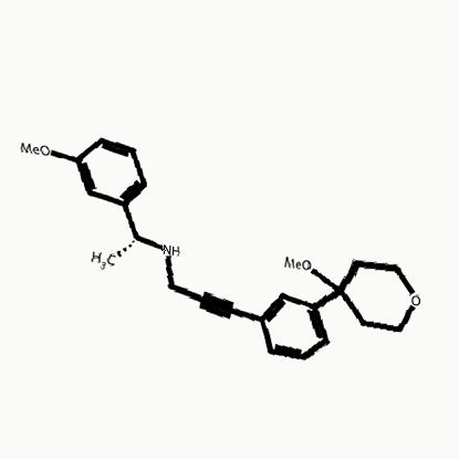 COc1cccc([C@@H](C)NCC#Cc2cccc(C3(OC)CCOCC3)c2)c1